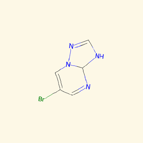 BrC1=CN2N=CNC2N=C1